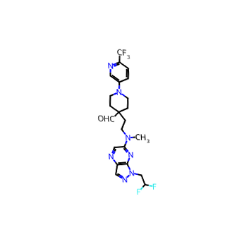 CN(CCC1(C=O)CCN(c2ccc(C(F)(F)F)nc2)CC1)c1cnc2cnn(CC(F)F)c2n1